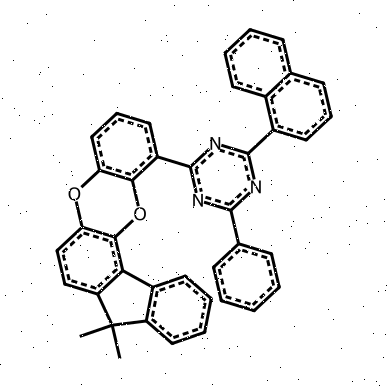 CC1(C)c2ccccc2-c2c1ccc1c2Oc2c(cccc2-c2nc(-c3ccccc3)nc(-c3cccc4ccccc34)n2)O1